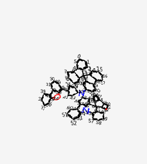 c1ccc2c(c1)-c1ccccc1C21c2ccccc2-c2ccc(N(c3ccc(-c4cccc5c4oc4ccccc45)cc3)c3cc4c5c(c3)c3ccccc3n5-c3ccccc3C43c4ccccc4-c4ccccc43)cc21